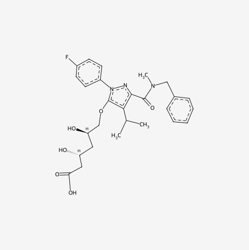 CC(C)c1c(C(=O)N(C)Cc2ccccc2)nn(-c2ccc(F)cc2)c1OC[C@H](O)C[C@@H](O)CC(=O)O